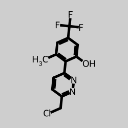 Cc1cc(C(F)(F)F)cc(O)c1-c1ccc(CCl)nn1